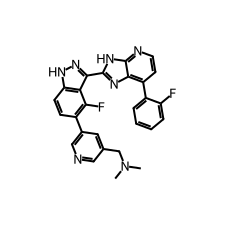 CN(C)Cc1cncc(-c2ccc3[nH]nc(-c4nc5c(-c6ccccc6F)ccnc5[nH]4)c3c2F)c1